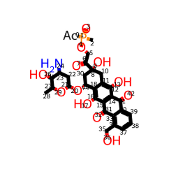 CC(=O)P(C)(=O)OCC(=O)[C@]1(O)Cc2c(O)c3c(c(O)c2[C@@H](OC2CC(N)C(O)C(C)O2)C1)C(=O)c1c(CO)cccc1C3=O